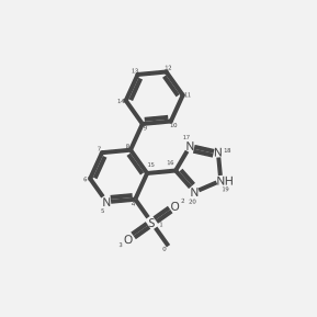 CS(=O)(=O)c1nccc(-c2ccccc2)c1-c1nn[nH]n1